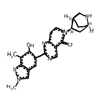 Cc1c(O)c(-c2ncc3c(=O)n([C@@H]4C[C@H]5C[C@@H]4CN5)ccc3n2)cc2cn(C)nc12